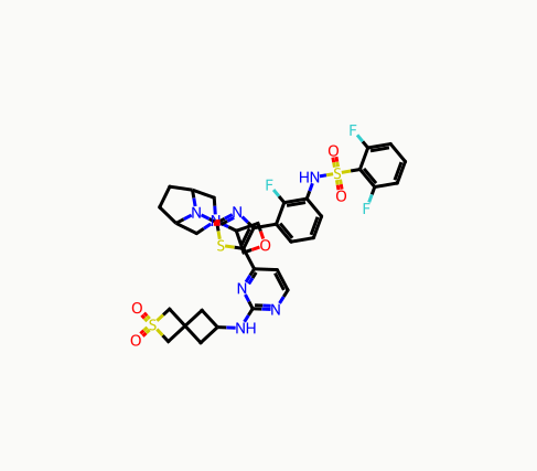 O=S1(=O)CC2(CC(Nc3nccc(-c4sc(N5C6CCC5CN(C5COC5)C6)nc4-c4cccc(NS(=O)(=O)c5c(F)cccc5F)c4F)n3)C2)C1